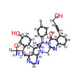 Cc1ccc(C2(n3c(Cn4nc(-c5ccc(O)c6c5CC(C)(C)O6)c5c(N)ncnc54)nc4cccc(C#CCO)c4c3=O)CC2)cc1